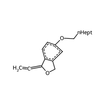 C=C=C1OCc2cc(OCCCCCCCC)ccc21